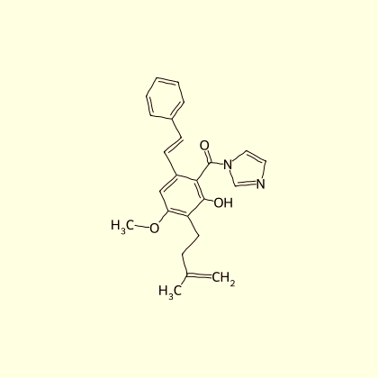 C=C(C)CCc1c(OC)cc(/C=C/c2ccccc2)c(C(=O)n2ccnc2)c1O